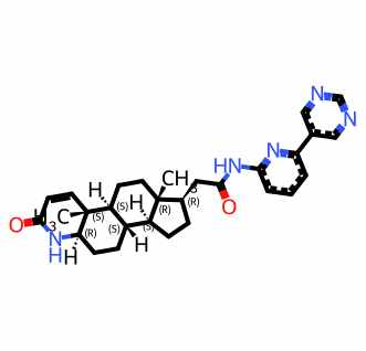 C[C@]12C=CC(=O)N[C@@H]1CC[C@@H]1[C@@H]2CC[C@]2(C)[C@@H](CC(=O)Nc3cccc(-c4cncnc4)n3)CC[C@@H]12